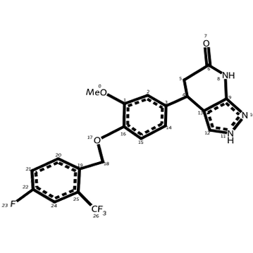 COc1cc(C2CC(=O)Nc3n[nH]cc32)ccc1OCc1ccc(F)cc1C(F)(F)F